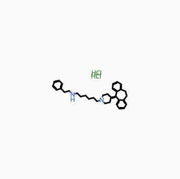 Cl.Cl.c1ccc(CCNCCCCCCN2CCC(=C3c4ccccc4CCc4ccccc43)CC2)cc1